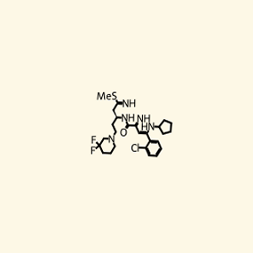 CSC(=N)C[C@H](CCN1CCCC(F)(F)C1)NC(=O)C(=N)/C=C(\NC1CCCC1)c1ccccc1Cl